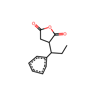 CCC(c1ccccc1)C1CC(=O)OC1=O